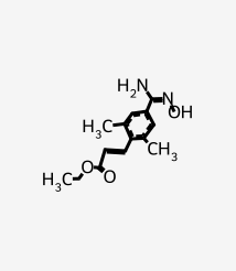 CCOC(=O)/C=C/c1c(C)cc(/C(N)=N\O)cc1C